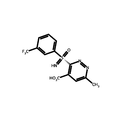 Cc1cc(C(=O)O)c([S@@](=N)(=O)c2cccc(C(F)(F)F)c2)nn1